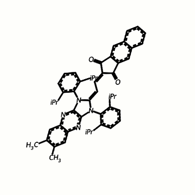 Cc1cc2nc3c(nc2cc1C)N(c1c(C(C)C)cccc1C(C)C)C(=CC=C1C(=O)c2cc4ccccc4cc2C1=O)N3c1c(C(C)C)cccc1C(C)C